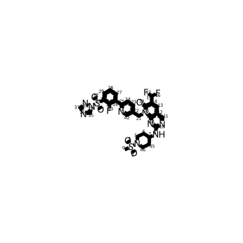 CS(=O)(=O)N1CCC(Nc2ncc3cc(C(F)F)c(=O)n(Cc4ccc(-c5cccc(S(=O)(=O)n6cncn6)c5F)nc4)c3n2)CC1